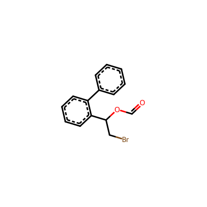 O=COC(CBr)c1ccccc1-c1ccccc1